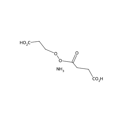 N.O=C(O)CCOOC(=O)CCC(=O)O